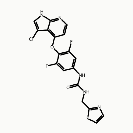 O=C(NCc1nccs1)Nc1cc(F)c(Oc2ccnc3[nH]cc(Cl)c23)c(F)c1